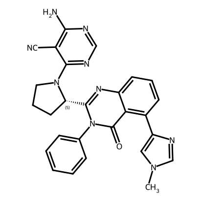 Cn1cnc(-c2cccc3nc([C@@H]4CCCN4c4ncnc(N)c4C#N)n(-c4ccccc4)c(=O)c23)c1